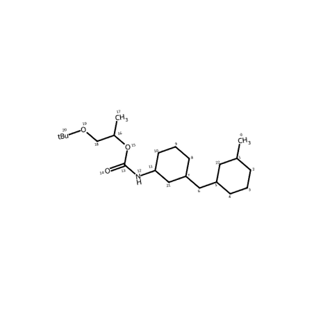 CC1CCCC(CC2CCCC(NC(=O)OC(C)COC(C)(C)C)C2)C1